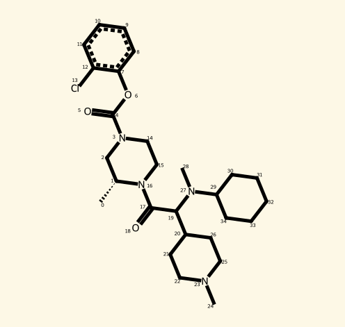 C[C@@H]1CN(C(=O)Oc2ccccc2Cl)CCN1C(=O)C(C1CCN(C)CC1)N(C)C1CCCCC1